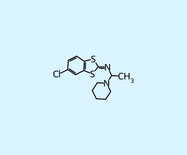 CC(N=c1sc2ccc(Cl)cc2s1)N1CCCCC1